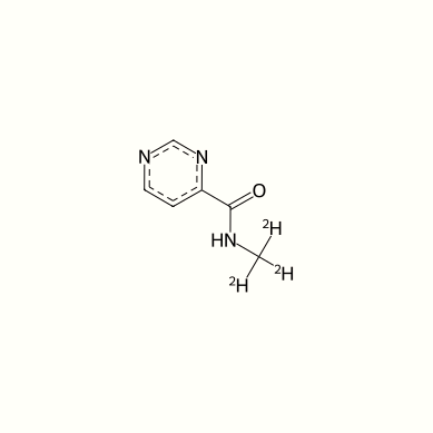 [2H]C([2H])([2H])NC(=O)c1ccncn1